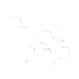 CCO/C=C/c1cc(=O)n(C)c(Nc2ccccc2F)c1C(=O)OC